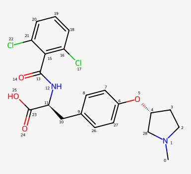 CN1CC[C@@H](Oc2ccc(C[C@H](NC(=O)c3c(Cl)cccc3Cl)C(=O)O)cc2)C1